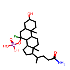 CC(CCC(N)=O)C1CCC2C3C(CCC12C)C1(C)CCC(O)CC1CC3(F)OP(=O)(O)O